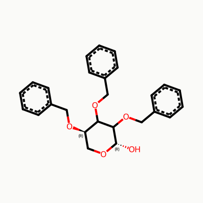 O[C@@H]1OC[C@@H](OCc2ccccc2)C(OCc2ccccc2)C1OCc1ccccc1